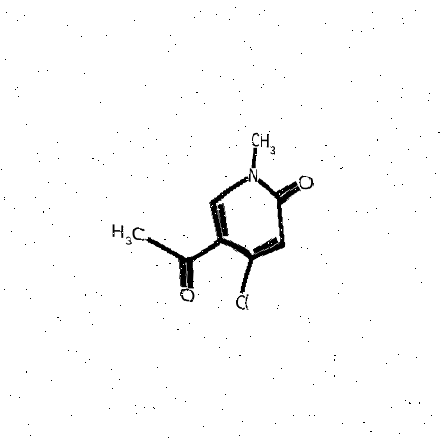 CC(=O)c1cn(C)c(=O)cc1Cl